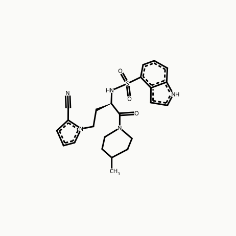 CC1CCN(C(=O)[C@@H](CCn2cccc2C#N)NS(=O)(=O)c2cccc3[nH]ccc23)CC1